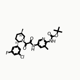 Cc1cc(NC(=O)C(=O)N2C[C@H](C)CC[C@H]2c2cc(F)cc(Cl)c2)cnc1NC(=O)OC(C)(C)C